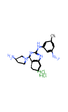 Cl.Cl.N#Cc1cc(N)cc(Nc2nc3c(c(N4CCC(N)C4)n2)CCCC3)c1